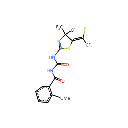 COc1ccccc1C(=O)NC(=O)NC1=NC(C(F)(F)F)(C(F)(F)F)C(=C(F)C(F)(F)F)S1